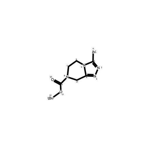 CC(=O)c1nnc2n1CCN(C(=O)OC(C)(C)C)C2